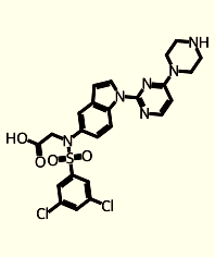 O=C(O)CN(c1ccc2c(ccn2-c2nccc(N3CCNCC3)n2)c1)S(=O)(=O)c1cc(Cl)cc(Cl)c1